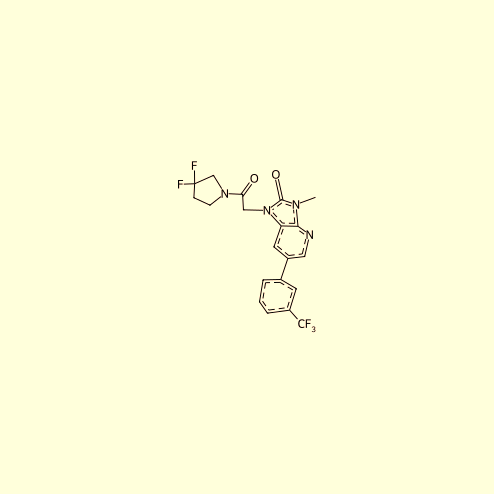 Cn1c(=O)n(CC(=O)N2CCC(F)(F)C2)c2cc(-c3cccc(C(F)(F)F)c3)cnc21